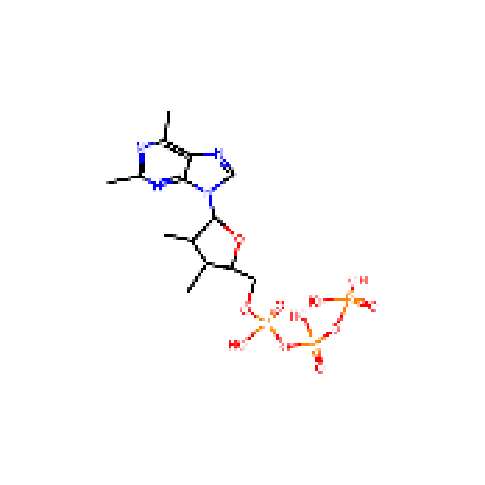 Cc1nc(C)c2ncn(C3OC(COP(=O)(O)OP(=O)(O)OP(=O)(O)O)C(C)C3C)c2n1